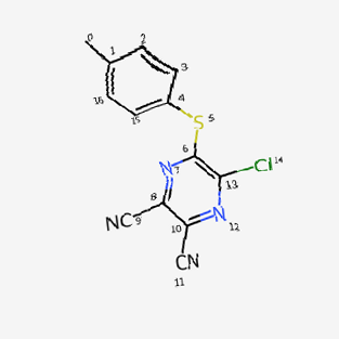 Cc1ccc(Sc2nc(C#N)c(C#N)nc2Cl)cc1